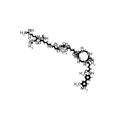 CCNC(=O)C(CCCNC(=N)N)NC(=O)C(CCCCNC(=O)CC(C)(C)OCC(C)(C)NC(=O)CCCC(=O)NC1(CN)CNCCNCC(CN)(NC(=O)CCCC(=O)Nc2ccc(-c3ccc(N)c(C)c3)cc2C)CNCCNC1)NC